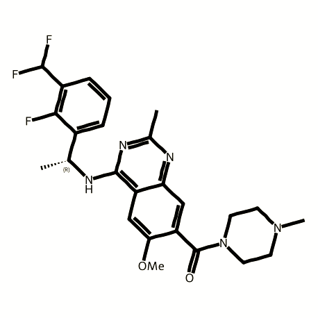 COc1cc2c(N[C@H](C)c3cccc(C(F)F)c3F)nc(C)nc2cc1C(=O)N1CCN(C)CC1